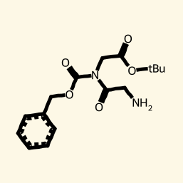 CC(C)(C)OC(=O)CN(C(=O)CN)C(=O)OCc1ccccc1